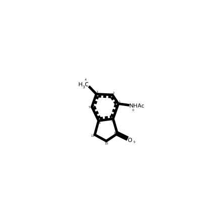 CC(=O)Nc1cc(C)cc2c1C(=O)CC2